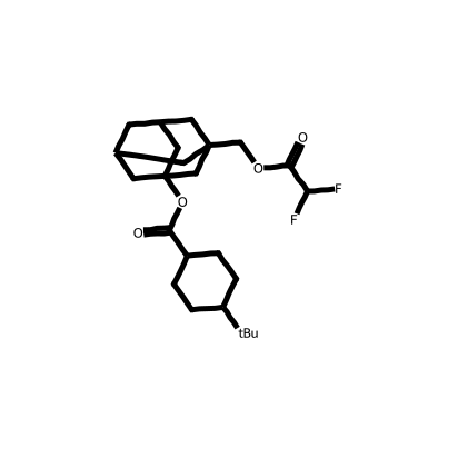 CC(C)(C)C1CCC(C(=O)OC23CC4CC(CC(COC(=O)C(F)F)(C4)C2)C3)CC1